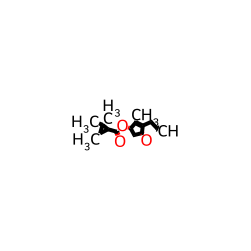 C#CCC1=C(C)C(OC(=O)C2C(C)C2(C)C)CC1=O